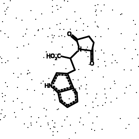 O=C(O)C(Cc1c[nH]c2ccccc12)N1C(=O)CCC1=O